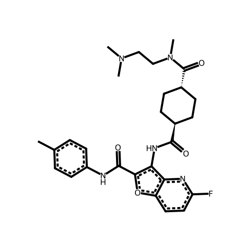 Cc1ccc(NC(=O)c2oc3ccc(F)nc3c2NC(=O)[C@H]2CC[C@H](C(=O)N(C)CCN(C)C)CC2)cc1